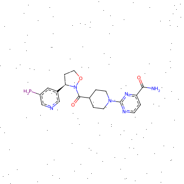 NC(=O)c1ccnc(N2CCC(C(=O)N3OCC[C@@H]3c3cncc(P)c3)CC2)n1